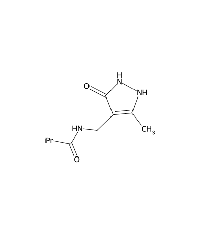 Cc1[nH][nH]c(=O)c1CNC(=O)C(C)C